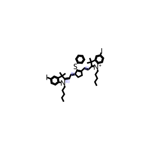 CCCCCN1/C(=C/C=C2\CCC(/C=C/C3=[N+](CCCCC)c4ccc(I)cc4C3(C)C)=C2Sc2ccccc2)C(C)(C)c2cc(I)ccc21